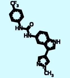 Cn1cc(-c2c[nH]c3ccc(NC(=O)Nc4ccc(C(F)(F)F)cc4)cc23)cn1